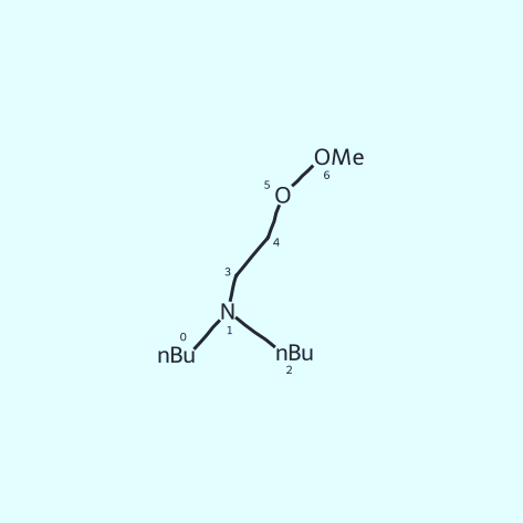 CCCCN(CCCC)CCOOC